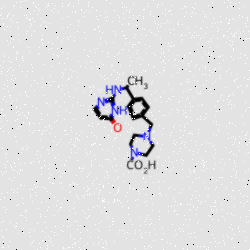 CC(Nc1nccc(=O)[nH]1)c1ccc(CN2CCN(C(=O)O)CC2)cc1